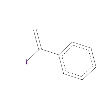 C=C(I)c1ccccc1